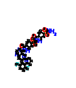 NS(=O)(=O)c1ccc(C(=O)NS(=O)(=O)c2ccc(C(=O)Nc3ncnc4ccc(N5CCC[C@@H]5c5cc(F)ccc5F)nc34)cc2)cc1